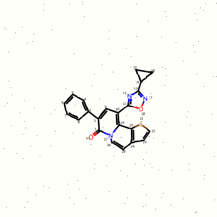 O=c1c(-c2ccccc2)cc(-c2nc(C3CC3)no2)c2c3sccc3ccn12